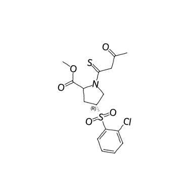 COC(=O)C1C[C@@H](S(=O)(=O)c2ccccc2Cl)CN1C(=S)CC(C)=O